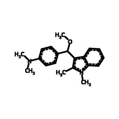 COC(c1ccc(N(C)C)cc1)c1c(C)n(C)c2ccccc12